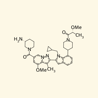 COc1cc(C(=O)N2CCC[C@@H](N)C2)cn2nc(-c3cc4cccc(C5CCN(C(=O)[C@@H](C)OC)CC5)c4n3CC3CC3)c(C)c12